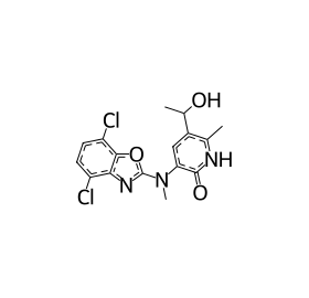 Cc1[nH]c(=O)c(N(C)c2nc3c(Cl)ccc(Cl)c3o2)cc1C(C)O